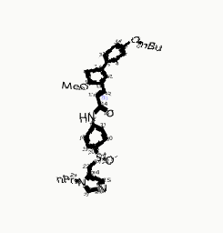 CCCCOc1ccc(-c2ccc(OC)c(/C=C/C(=O)Nc3ccc([S@+]([O-])Cc4cncn4CCC)cc3)c2)cc1